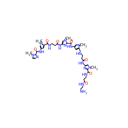 Cn1cc(NC(=O)c2nc(NC(=O)CCNC(=O)c3cc(NC(=O)c4nccn4C)cn3C)cn2C)cc1CNCCC(=O)Nc1cn(C)c(C(=O)NCCC(=O)NCCN)n1